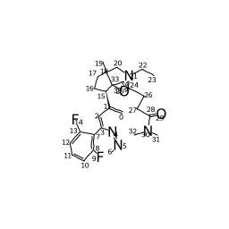 C=C(/C=C(\N=N/C)c1c(F)cccc1F)[C@H]1CCC(C)(CN(CC)C(=O)CCC(=O)N(C)C)C1(C)C